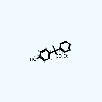 CCOC(=O)C(C)(c1ccccc1)c1ccc(O)cc1